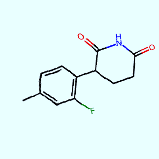 Cc1ccc(C2CCC(=O)NC2=O)c(F)c1